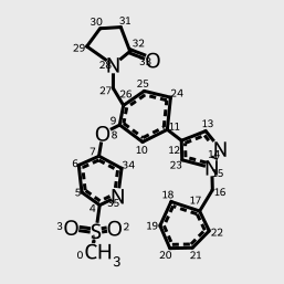 CS(=O)(=O)c1ccc(Oc2cc(-c3cnn(Cc4ccccc4)c3)ccc2CN2CCCC2=O)cn1